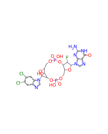 Nc1nc2c(ncn2C2OC3COP(=O)(O)OC4C(O)C(COP(=O)(O)OC3C2F)OC4n2cnc3cc(Cl)c(Cl)cc32)c(=O)[nH]1